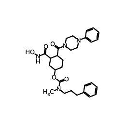 CN(CCCc1ccccc1)C(=O)OC1CCC(C(=O)N2CCN(c3ccccc3)CC2)C(C(=O)NO)C1